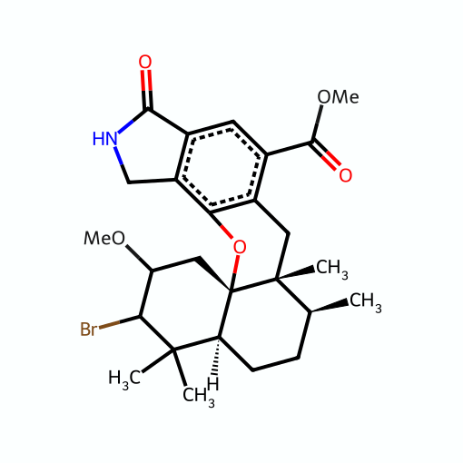 COC(=O)c1cc2c(c3c1C[C@]1(C)[C@@H](C)CC[C@H]4C(C)(C)C(Br)C(OC)C[C@]41O3)CNC2=O